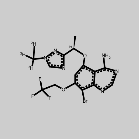 [2H]C([2H])([2H])n1cnc([C@@H](C)Oc2cc(OCC(F)(F)F)c(Br)c3ncnc(N)c23)n1